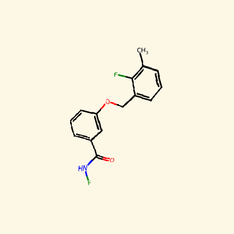 Cc1cccc(COc2cccc(C(=O)NF)c2)c1F